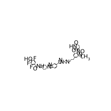 Cn1c(=O)n([C@@H]2CCC(=O)NC2=O)c2ccc(CCCN3CC(n4cc(-c5ccc6cn(C7CCC(CNC(=O)c8cc(F)c(O)c(F)c8F)CC7)nc6c5)cn4)C3)cc21